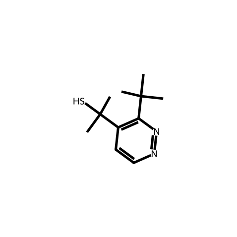 CC(C)(C)c1nnccc1C(C)(C)S